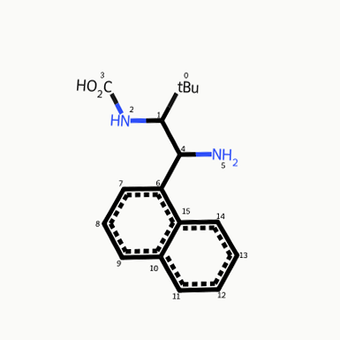 CC(C)(C)C(NC(=O)O)C(N)c1cccc2ccccc12